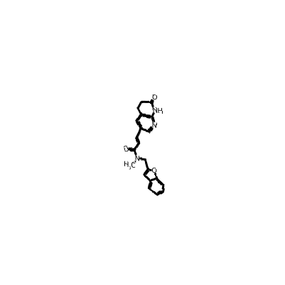 CN(Cc1cc2ccccc2o1)C(=O)/C=C/c1cnc2c(c1)CCC(=O)N2